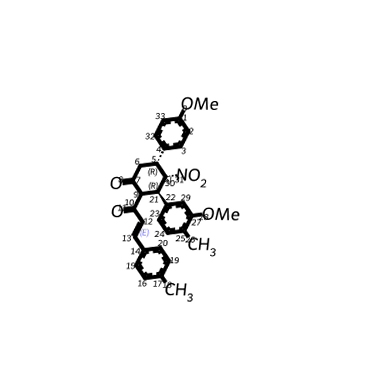 COc1ccc([C@H]2CC(=O)C(C(=O)/C=C/c3ccc(C)cc3)[C@H](c3ccc(C)c(OC)c3)[C@H]2[N+](=O)[O-])cc1